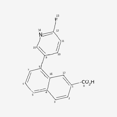 O=C(O)c1ccc2cccc(-c3ccc(F)nc3)c2c1